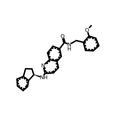 COc1ccccc1CNC(=O)c1ccc2nc(N[C@@H]3CCc4ccccc43)ccc2c1